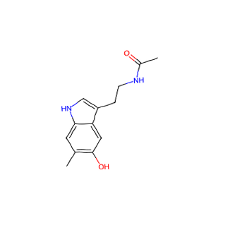 CC(=O)NCCc1c[nH]c2cc(C)c(O)cc12